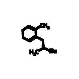 CCC(C)B(C)CC1=CCCC=C1C